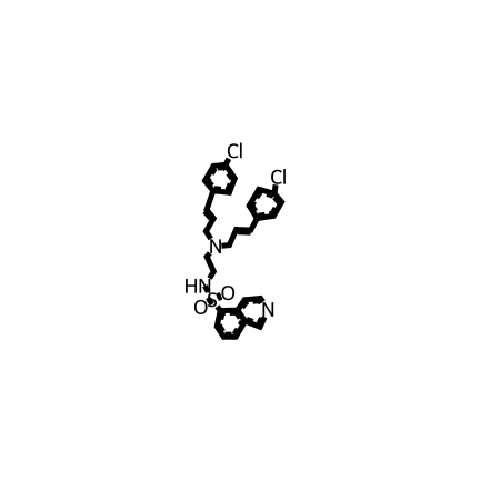 O=S(=O)(NCCN(C/C=C/c1ccc(Cl)cc1)C/C=C/c1ccc(Cl)cc1)c1cccc2cnccc12